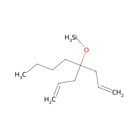 C=CCC(CC=C)(CCCC)O[SiH3]